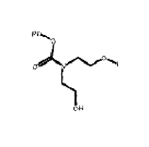 CC(C)OC(=O)N(CCO)CCOI